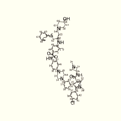 Cc1cc(S(=O)(=O)Nc2ccc(N3CCN(c4cccc(-c5c(C(=O)NC6CN(C)C6)c(C)n(C)c5-c5ccc(Cl)cc5)c4)CC3)cc2)ccc1N[C@H](CCN1CCC(O)CC1)CSc1ccccc1